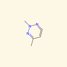 CC1=NN(C)N=C=C1